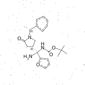 C[C@H](c1ccccc1)N1C[C@H](C(N)(NC(=O)OC(C)(C)C)c2ccco2)CC1=O